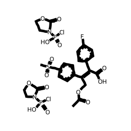 CC(=O)OC/C(=C(\C(=O)O)c1ccc(F)cc1)c1ccc(S(C)(=O)=O)cc1.O=C1OCCN1P(=O)(O)Cl.O=C1OCCN1P(=O)(O)Cl